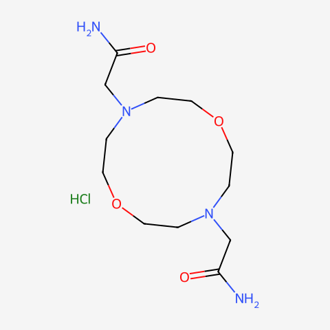 Cl.NC(=O)CN1CCOCCN(CC(N)=O)CCOCC1